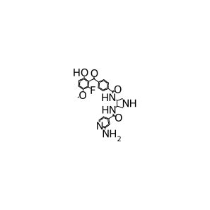 COc1ccc(O)c(C(=O)c2ccc(C(=O)N[C@@H]3CNC[C@H]3NC(=O)c3ccnc(N)c3)cc2)c1F